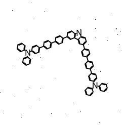 Cn1c2ccc(-c3ccc(-c4ccc(-c5ccc(N(c6ccccc6)c6ccccc6)cc5)cc4)cc3)cc2c2cc(-c3ccc(-c4ccc(-c5ccc(N(c6ccccc6)c6ccccc6)cc5)cc4)cc3)ccc21